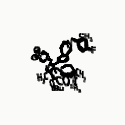 Cc1cc(F)ccc1CN1CCc2cc(-c3c(CN4CCS(=O)(=O)CC4)nc(C)c([C@H](OC(C)(C)C)C(=O)O)c3N3CCC(C)(C)CC3)ccc2C1